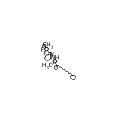 CCc1cc(N/C2=C/CC/C=C\C=C3\C(c4ccc(OC)c(F)c4F)=CN=C32)ccc1C(=O)CCCCCCCCCC1=CCCCCC1